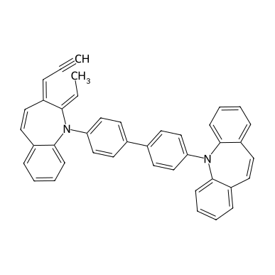 C#C/C=C1/C=Cc2ccccc2N(c2ccc(-c3ccc(N4c5ccccc5C=Cc5ccccc54)cc3)cc2)/C1=C/C